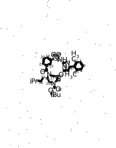 Cc1cccc(C)c1-c1cc2nc(n1)NS(=O)(=O)c1cccc(c1)C(=O)N1C[C@@H](CN(C(=O)OC(C)(C)C)C[C@@H]1CCC(C)C)O2